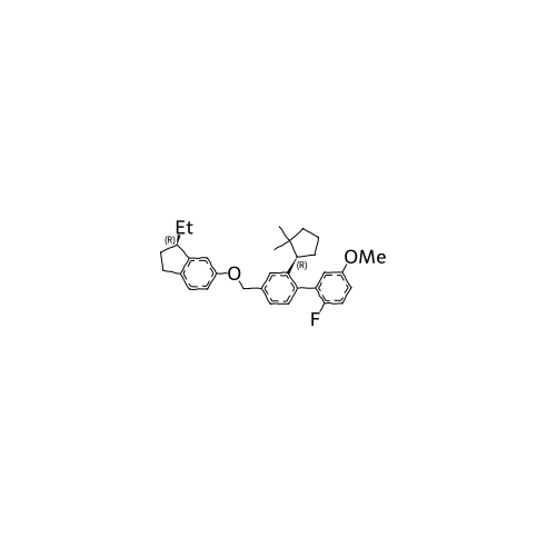 CC[C@@H]1CCc2ccc(OCc3ccc(-c4cc(OC)ccc4F)c([C@@H]4CCCC4(C)C)c3)cc21